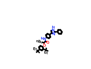 CCCCC(Oc1ccc(C(C)(C)CC)cc1C(C)(C)CC)C(=O)Nc1ccc(-c2c[nH]c(-c3ccccc3)n2)cc1